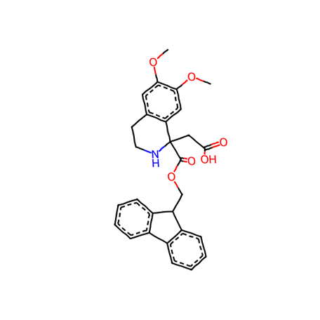 COc1cc2c(cc1OC)C(CC(=O)O)(C(=O)OCC1c3ccccc3-c3ccccc31)NCC2